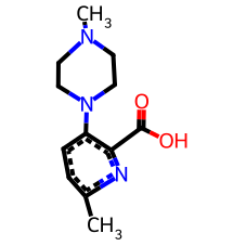 Cc1ccc(N2CCN(C)CC2)c(C(=O)O)n1